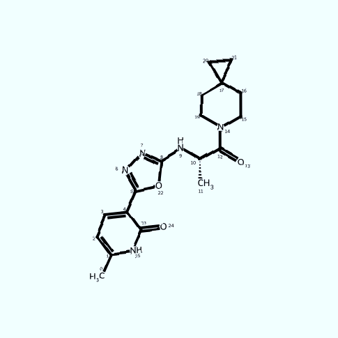 Cc1ccc(-c2nnc(N[C@@H](C)C(=O)N3CCC4(CC3)CC4)o2)c(=O)[nH]1